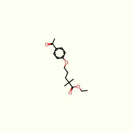 CCOC(=O)C(C)(C)CCCOc1ccc(C(C)=O)cc1